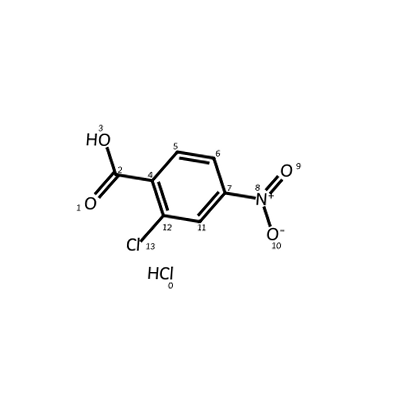 Cl.O=C(O)c1ccc([N+](=O)[O-])cc1Cl